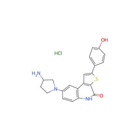 Cl.NC1CCN(c2ccc3[nH]c(=O)c4sc(-c5ccc(O)cc5)cc4c3c2)C1